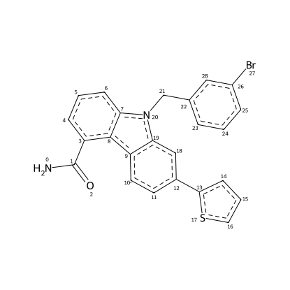 NC(=O)c1cccc2c1c1[c]cc(-c3cccs3)cc1n2Cc1cccc(Br)c1